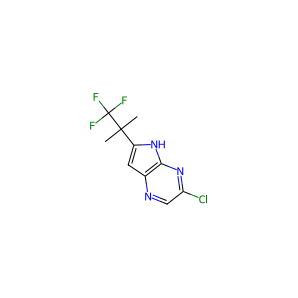 CC(C)(c1cc2ncc(Cl)nc2[nH]1)C(F)(F)F